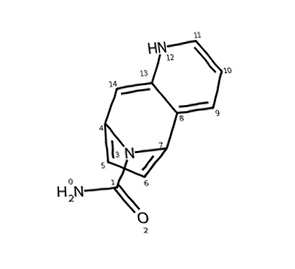 NC(=O)n1c2ccc1C1=CC=CNC1=C2